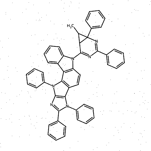 CC1C2C(n3c4ccccc4c4c3ccc3c5c(nc(-c6ccccc6)n5-c5ccccc5)n(-c5ccccc5)c34)=NC(c3ccccc3)=NC12c1ccccc1